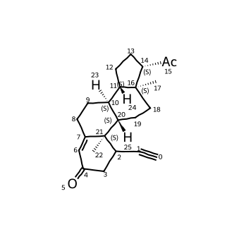 C#CC1CC(=O)C=C2CC[C@H]3[C@@H]4CC[C@H](C(C)=O)[C@@]4(C)CC[C@@H]3[C@]21C